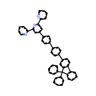 c1ccc(C2(c3ccccc3)c3ccccc3-c3ccc(-c4ccc(-c5ccc(-c6cc(-c7ccccn7)nc(-c7ccccn7)c6)cc5)cc4)cc32)cc1